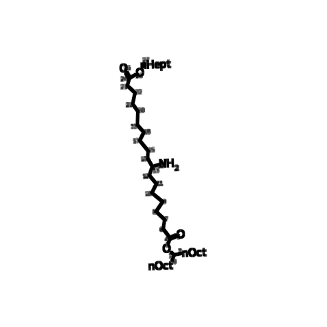 CCCCCCCCC(CCCCCCCC)OC(=O)CCCCCCCC(N)CCCCCCCCCC(=O)OCCCCCCC